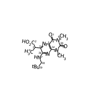 CC(C(=O)O)c1nc2c(=O)n(C)c(=O)n(C)c2nc1NCC(C)(C)C